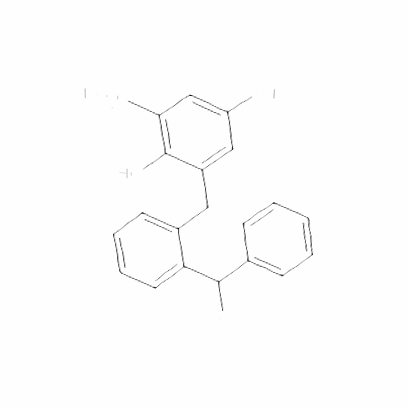 Cc1cc(Cc2ccccc2C(C)c2ccccc2)c(O)c(C(=O)O)c1